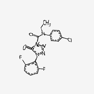 CCN(C(=O)n1nnn(-c2c(F)cccc2F)c1=O)c1ccc(Cl)cc1